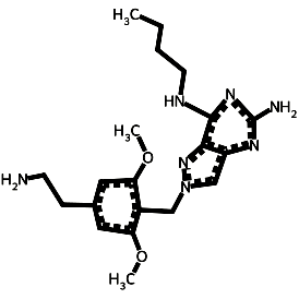 CCCCNc1nc(N)nc2cn(Cc3c(OC)cc(CCN)cc3OC)nc12